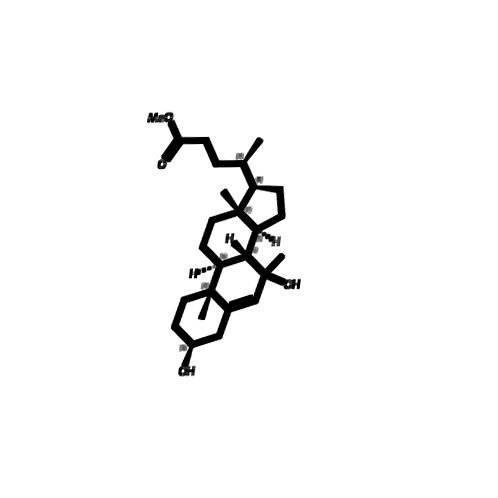 COC(=O)CC[C@@H](C)[C@H]1CC[C@H]2[C@H]3[C@H](CC[C@]12C)[C@@]1(C)CC[C@H](O)CC1=CC3(C)O